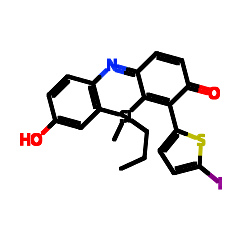 CCC[Si]1(C)C2=C(c3ccc(I)s3)C(=O)C=CC2=Nc2ccc(O)cc21